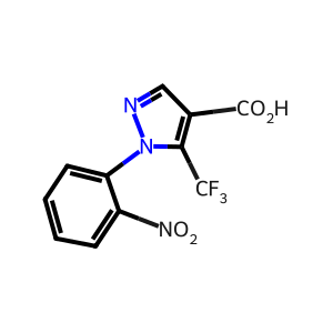 O=C(O)c1cnn(-c2ccccc2[N+](=O)[O-])c1C(F)(F)F